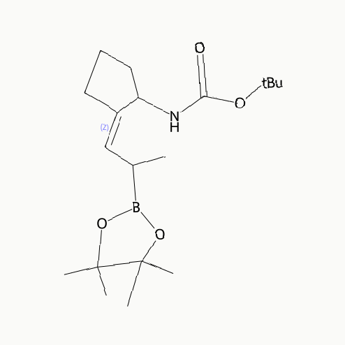 CC(/C=C1/CCCC1NC(=O)OC(C)(C)C)B1OC(C)(C)C(C)(C)O1